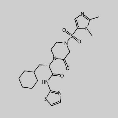 Cc1ncc(S(=O)(=O)N2CCN([C@@H](CC3CCCCC3)C(=O)Nc3nccs3)C(=O)C2)n1C